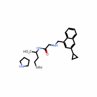 C1CCNC1.CSCCC(NC(=O)CNCc1cc(C2CC2)cc2ccccc12)C(=O)O